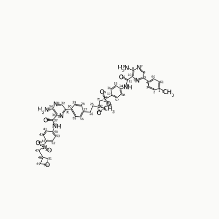 Cc1ccc(-c2cnc(N)c(C(=O)Nc3ccc(S(=O)(=O)CP(C)(=O)CCc4ccc(-c5cnc(N)c(C(=O)Nc6ccc(S(=O)(=O)CC7COC7)cc6)n5)cc4)cc3)n2)cc1